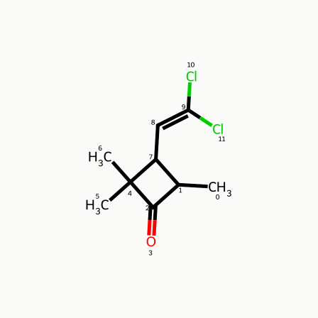 CC1C(=O)C(C)(C)C1C=C(Cl)Cl